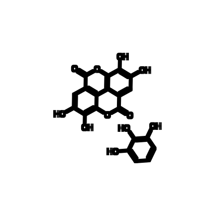 O=c1oc2c(O)c(O)cc3c(=O)oc4c(O)c(O)cc1c4c23.Oc1cccc(O)c1O